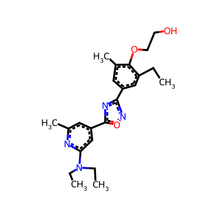 CCc1cc(-c2noc(-c3cc(C)nc(N(CC)CC)c3)n2)cc(C)c1OCCO